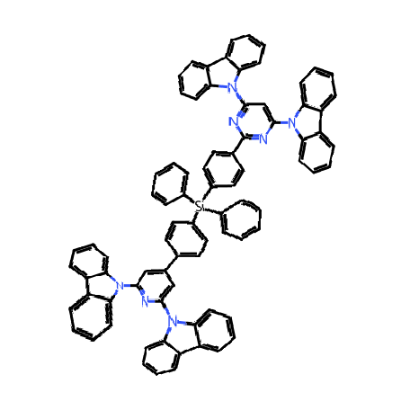 c1ccc([Si](c2ccccc2)(c2ccc(-c3cc(-n4c5ccccc5c5ccccc54)nc(-n4c5ccccc5c5ccccc54)c3)cc2)c2ccc(-c3nc(-n4c5ccccc5c5ccccc54)cc(-n4c5ccccc5c5ccccc54)n3)cc2)cc1